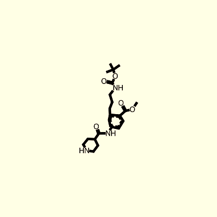 COC(=O)c1ccc(NC(=O)C2CCNCC2)cc1CCCNC(=O)OC(C)(C)C